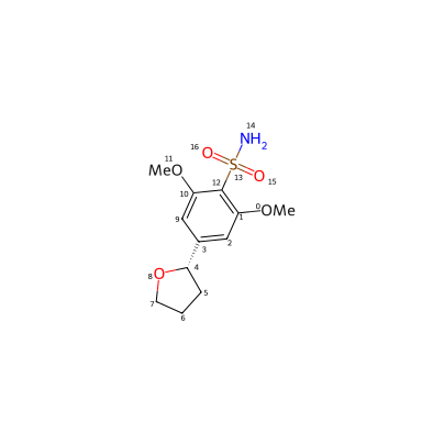 COc1cc([C@@H]2CCCO2)cc(OC)c1S(N)(=O)=O